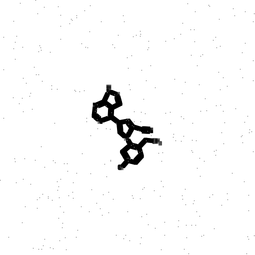 CCc1ccc(Cl)cc1-n1cc(-c2ncnc3[nH]ncc23)cc1C#N